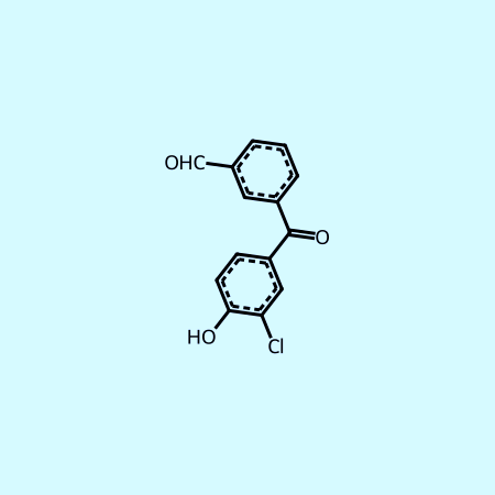 O=Cc1cccc(C(=O)c2ccc(O)c(Cl)c2)c1